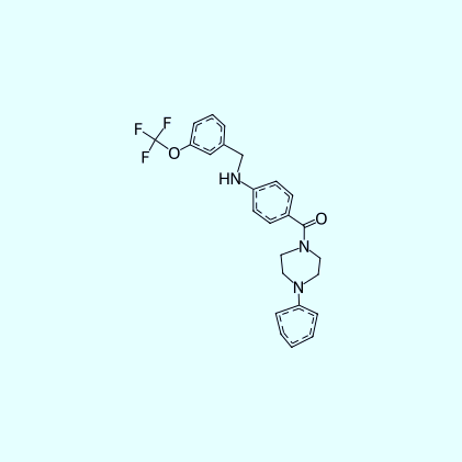 O=C(c1ccc(NCc2cccc(OC(F)(F)F)c2)cc1)N1CCN(c2ccccc2)CC1